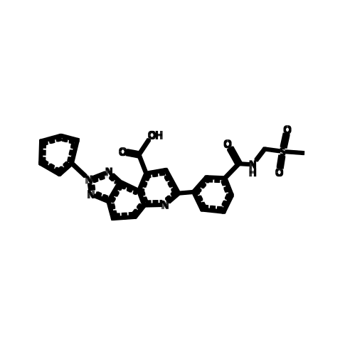 CS(=O)(=O)CNC(=O)c1cccc(-c2cc(C(=O)O)c3c(ccc4nn(-c5ccccc5)nc43)n2)c1